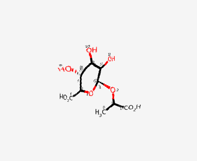 CC(O[C@H]1OC(C(=O)O)[C@H](O)C(O)C1O)C(=O)O